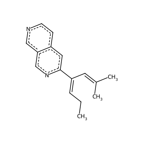 CC/C=C(\C=C(C)C)c1cc2ccncc2cn1